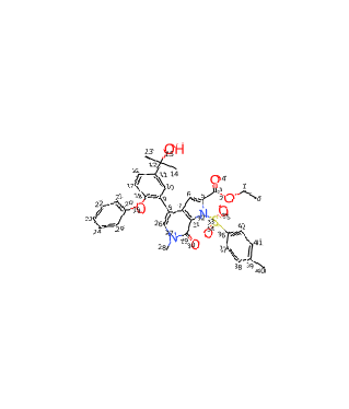 CCOC(=O)c1cc2c(-c3cc(C(C)(C)O)ccc3Oc3ccccc3)cn(C)c(=O)c2n1S(=O)(=O)c1ccc(C)cc1